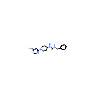 S=C(NCc1ccccc1)NC1CCN(c2cc(Cl)ncn2)CC1